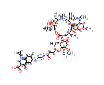 CC[C@H]1OC(=O)[C@H](C)[C@@H](OC2C[C@@](C)(OC)[C@@H](OCCCC(=O)NCCNc3cc4c(=O)c(C(=O)O)cn(C5CC5)c4cc3Cl)[C@H](C)O2)[C@H](C)[C@@H](O[C@@H]2O[C@H](C)C[C@H](N(C)C)[C@H]2O)[C@](C)(O)C[C@@H](C)CN(C)[C@H](C)[C@@H](O)[C@]1(C)O